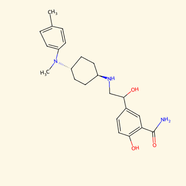 Cc1ccc(N(C)[C@H]2CC[C@H](NCC(O)c3ccc(O)c(C(N)=O)c3)CC2)cc1